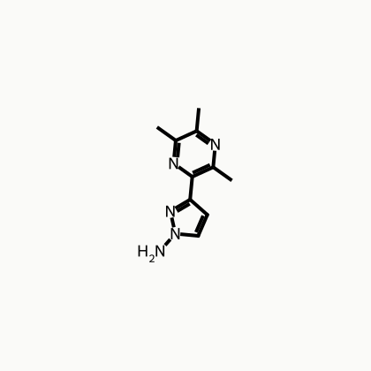 Cc1nc(C)c(-c2ccn(N)n2)nc1C